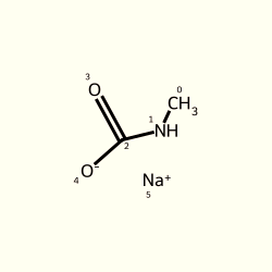 CNC(=O)[O-].[Na+]